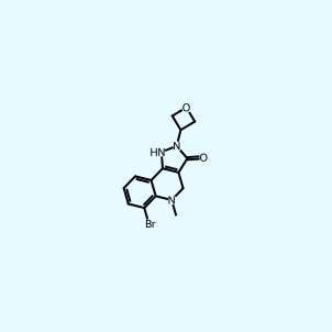 CN1Cc2c([nH]n(C3COC3)c2=O)-c2cccc(Br)c21